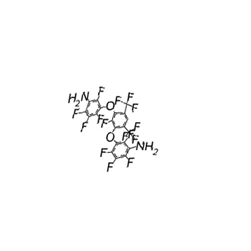 Nc1c(F)c(F)c(F)c(Oc2c(C(F)(F)F)cc(C(F)(F)F)c(Oc3c(F)c(N)c(F)c(F)c3F)c2F)c1F